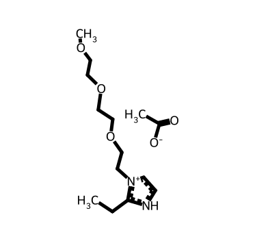 CC(=O)[O-].CCc1[nH]cc[n+]1CCOCCOCCOC